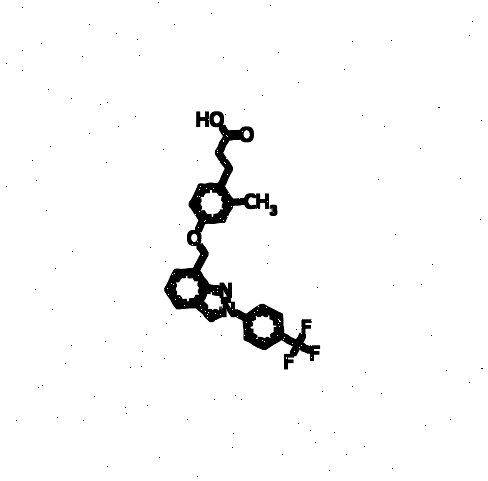 Cc1cc(OCc2cccc3cn(-c4ccc(C(F)(F)F)cc4)nc23)ccc1CCC(=O)O